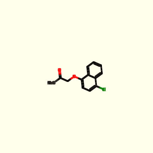 COC(=O)COc1ccc(Cl)c2ccccc12